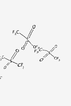 O=S(=O)(C(F)(F)F)C(F)(F)F.O=S(=O)(C(F)(F)F)C(F)(F)F.O=S(=O)(C(F)(F)F)C(F)(F)F.[Sc]